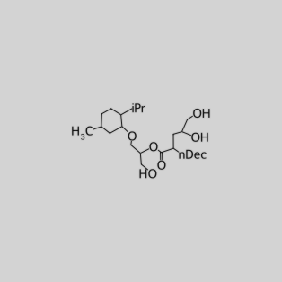 CCCCCCCCCCC(CC(O)CO)C(=O)OC(CO)COC1CC(C)CCC1C(C)C